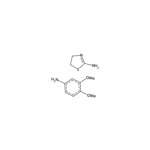 COc1ccc(N)cc1OC.NC1=NCCS1